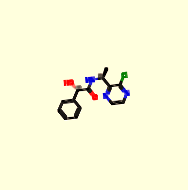 C[C@H](NC(=O)[C@@H](O)c1ccccc1)c1nccnc1Cl